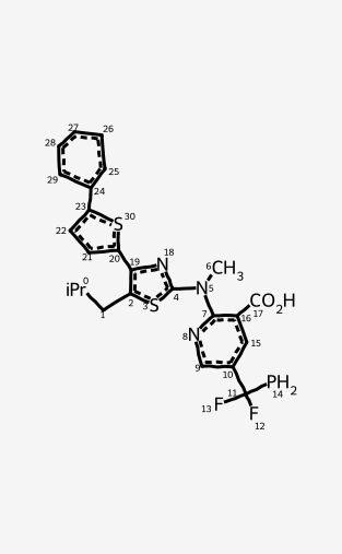 CC(C)Cc1sc(N(C)c2ncc(C(F)(F)P)cc2C(=O)O)nc1-c1ccc(-c2ccccc2)s1